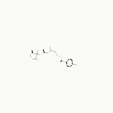 CC(CCNC(=O)c1ccc(C(C)(C)C)cc1)CC(=O)NC1(C)C(=O)COC1C